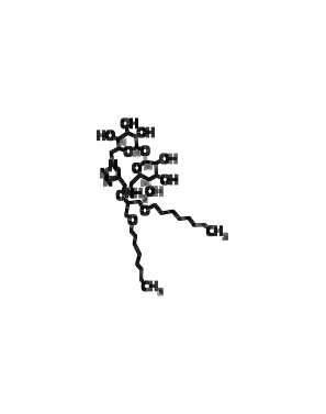 CCCCCCCCOCC(COCCCCCCCC)OCc1cn(CC2O[C@H](O[C@H]3OC(CN)[C@@H](O)C(O)C3O)C(O)C(O)[C@@H]2O)nn1